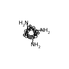 NCCCCCCN1CCCCC(=O)CN(Cc2ccccc2)C(=O)CN(CCCCCCN)C(=O)CN(Cc2ccccc2)C(=O)CN(CCCCCCN)C(=O)CN(Cc2ccccc2)C(=O)C1